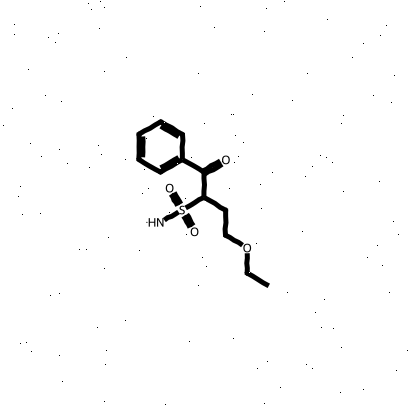 CCOCCC(C(=O)c1ccccc1)S([NH])(=O)=O